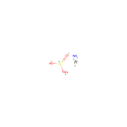 N.O=S(O)O.[Pt]